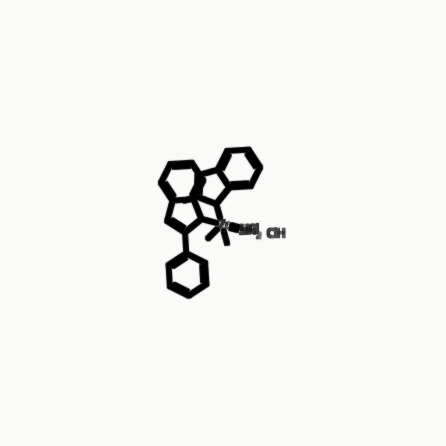 CC1=Cc2ccccc2[CH]1[Zr]([CH3])([CH3])(=[SiH2])[CH]1C(c2ccccc2)=Cc2ccccc21.Cl.Cl